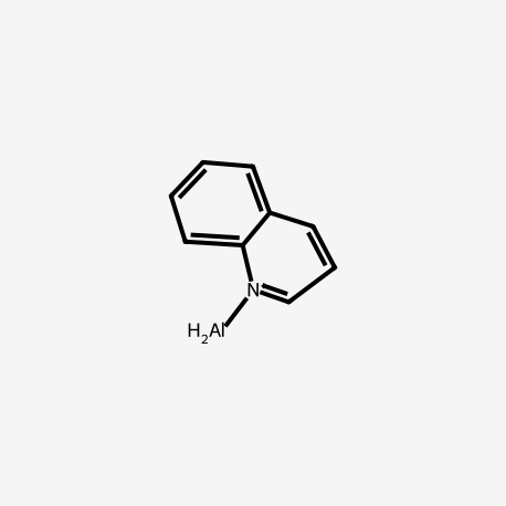 [AlH2][n+]1cccc2ccccc21